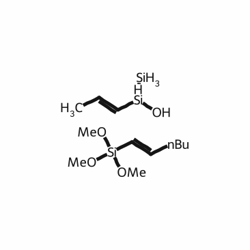 CC=C[SiH](O)[SiH3].CCCCC=C[Si](OC)(OC)OC